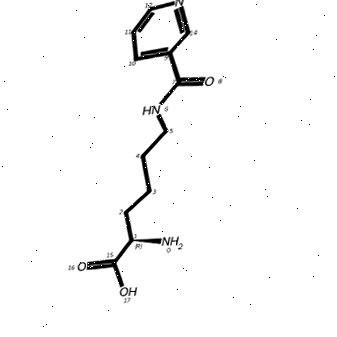 N[C@H](CCCCNC(=O)c1cccnc1)C(=O)O